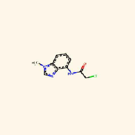 Cn1cnc2c(NC(=O)CCl)cccc21